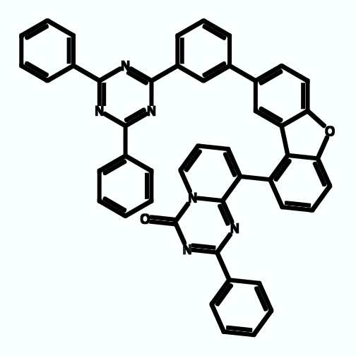 O=c1nc(-c2ccccc2)nc2c(-c3cccc4oc5ccc(-c6cccc(-c7nc(-c8ccccc8)nc(-c8ccccc8)n7)c6)cc5c34)cccn12